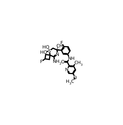 COc1cnc(C(=O)Nc2ccc(F)c([C@]3(C)CS(O)(O)C4(CC(F)C4)C(N)=N3)c2)c(C)c1